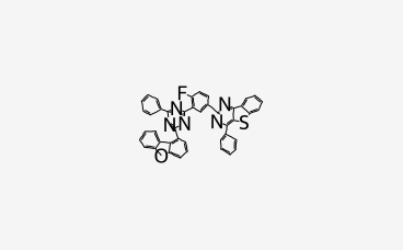 Fc1ccc(-c2nc(-c3ccccc3)c3sc4ccccc4c3n2)cc1-c1nc(-c2ccccc2)nc(-c2cccc3oc4ccccc4c23)n1